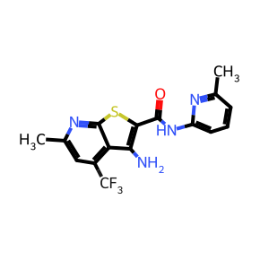 Cc1cccc(NC(=O)c2sc3nc(C)cc(C(F)(F)F)c3c2N)n1